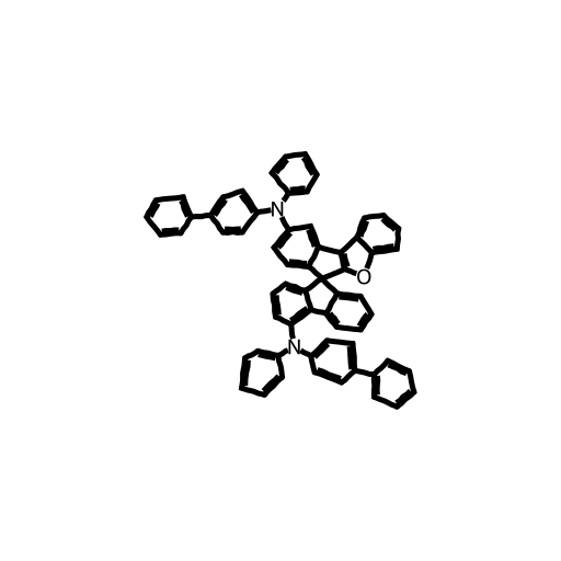 c1ccc(-c2ccc(N(c3ccccc3)c3ccc4c(c3)-c3c(oc5ccccc35)C43c4ccccc4-c4c(N(c5ccccc5)c5ccc(-c6ccccc6)cc5)cccc43)cc2)cc1